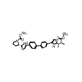 C[C@@H](c1ncc(-c2ccc(-c3ccc(-c4cnc([C@@H]5CCCN5C(=O)OC(C)(C)C)[nH]4)cc3)cc2)[nH]1)N(C)C(=O)OC(C)(C)C